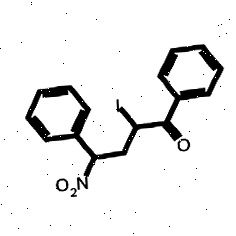 O=C(c1ccccc1)C(I)CC(c1ccccc1)[N+](=O)[O-]